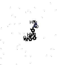 CN/N=C(C)\C=C(/C=O)Cc1ccc(C(=O)NCC(=O)N2C(c3cccc(F)c3)CCC2[C@H](C)N(C)C(C)=O)cc1C